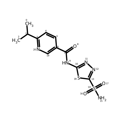 CC(C)c1ccc(C(=O)Nc2nnc(S(N)(=O)=O)s2)cn1